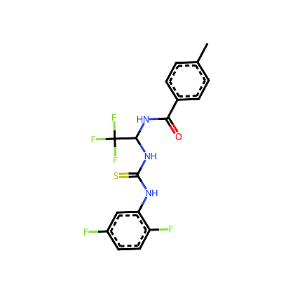 Cc1ccc(C(=O)NC(NC(=S)Nc2cc(F)ccc2F)C(F)(F)F)cc1